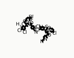 CC(Oc1ccc(C(F)(F)F)cn1)C1CN(C(=O)c2ccc(C#N)nc2)CC1c1ccc(Cl)c(Cl)c1.C[C@@H](Oc1ccc(Cl)cn1)[C@@H]1CN(C(=O)c2ccc(C#N)nc2)C[C@H]1c1ccc(Cl)c(Cl)c1